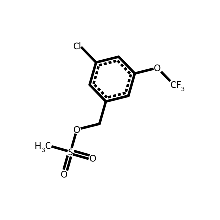 CS(=O)(=O)OCc1cc(Cl)cc(OC(F)(F)F)c1